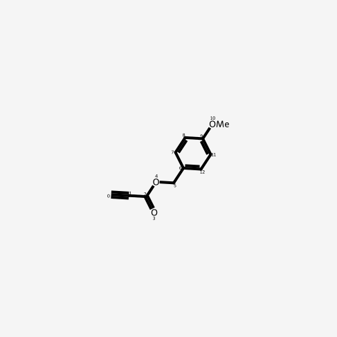 C#CC(=O)OCc1ccc(OC)cc1